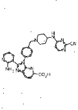 N#Cc1nccc(NC2CCN(Cc3ccc(-n4c(-c5cccnc5N)nc5ccc(C(=O)O)nc54)cc3)CC2)n1